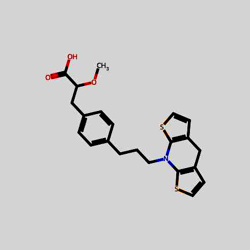 COC(Cc1ccc(CCCN2c3sccc3Cc3ccsc32)cc1)C(=O)O